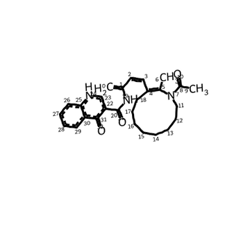 C=C(/C=C\C1=C(/C)N(C(C)=O)CCCCCCCC1)NC(=O)c1c[nH]c2ccccc2c1=O